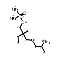 CCC(C)(COCC(C)N)COP(=O)(O)O